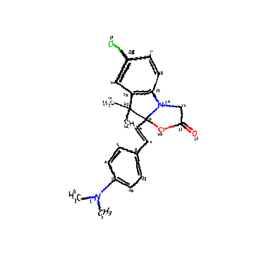 CN(C)c1ccc(C=CC23OC(=O)CN2c2ccc(Cl)cc2C3(C)C)cc1